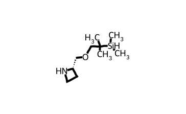 C[SiH](C)C(C)(C)COC[C@@H]1CCN1